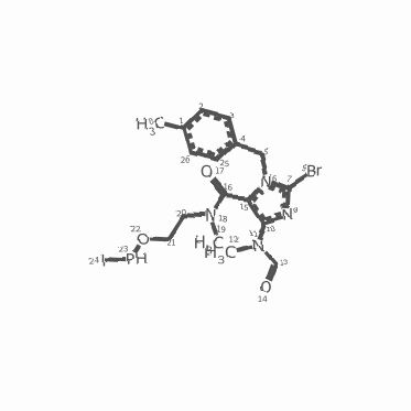 Cc1ccc(Cn2c(Br)nc(N(C)C=O)c2C(=O)N(C)CCOPI)cc1